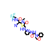 CCn1c(=C(C#N)C(=O)NCC(F)(F)F)sc(=CNc2cccc(NC(=O)CN3CCOc4ccccc43)n2)c1=O